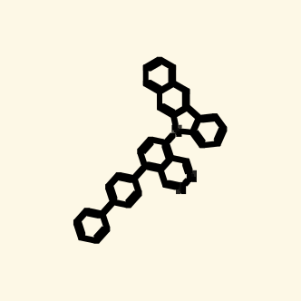 c1ccc(-c2ccc(-c3ccc(-n4c5ccccc5c5cc6ccccc6cc54)c4cnncc34)cc2)cc1